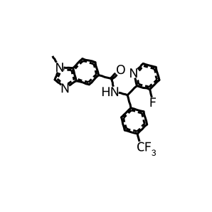 Cn1cnc2cc(C(=O)NC(c3ccc(C(F)(F)F)cc3)c3ncccc3F)ccc21